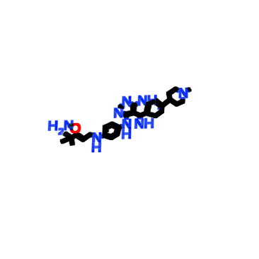 CN1CCC(C2=CC=C(C(=N)c3c(N)ncnc3Nc3ccc(NC/C=C(\ON)C(C)(C)C)cc3)CC2)CC1